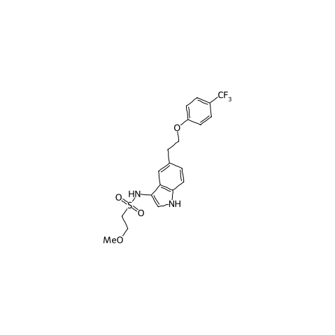 COCCS(=O)(=O)Nc1c[nH]c2ccc(CCOc3ccc(C(F)(F)F)cc3)cc12